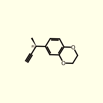 C#C[C@@H](C)c1ccc2c(c1)OCCO2